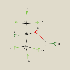 FC(F)(F)C(Cl)(OCCl)C(F)(F)F